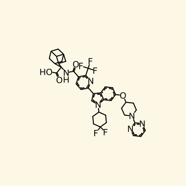 O=C(NC1(C(=O)O)C2CC3CC4(C2)CC1C34)c1ccc(-c2cn(C3CCC(F)(F)CC3)c3cc(OC4CCN(c5ncccn5)CC4)ccc23)nc1C(F)(F)F